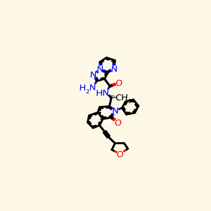 C[C@@H](NC(=O)c1c(N)nn2cccnc12)c1cc2cccc(C#CC3CCOC3)c2c(=O)n1-c1ccccc1